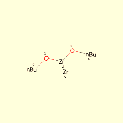 CCCC[O][Zr][O]CCCC.[Zr]